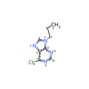 CCCn1cnc2c(Cl)ncnc21